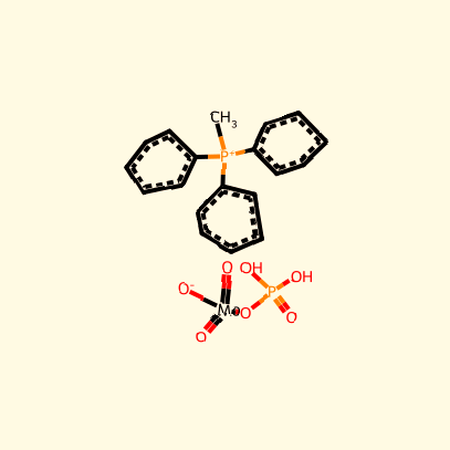 C[P+](c1ccccc1)(c1ccccc1)c1ccccc1.O=P(O)(O)[O][Mo](=[O])(=[O])[O-]